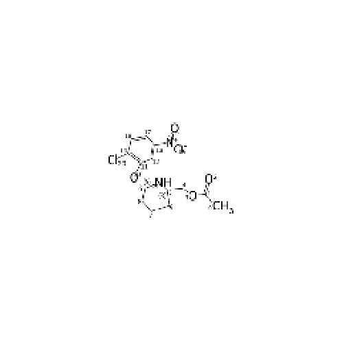 CC(=O)OC[C@H]1CCC[C@H](Oc2cc([N+](=O)[O-])ccc2Cl)N1